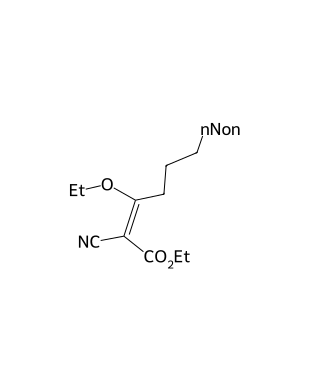 CCCCCCCCCCCCC(OCC)=C(C#N)C(=O)OCC